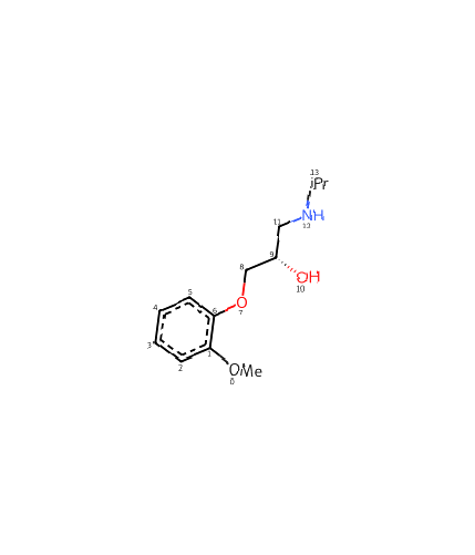 COc1ccccc1OC[C@@H](O)CNC(C)C